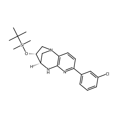 CC(C)(C)[Si](C)(C)O[C@@H]1CN2C[C@H]1Nc1nc(-c3cccc(Cl)c3)ccc12